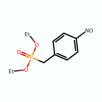 CCOP(=O)(Cc1ccc(N=O)cc1)OCC